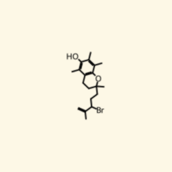 C=C(C)C(Br)CCC1(C)CCc2c(C)c(O)c(C)c(C)c2O1